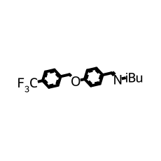 CCC(C)/N=C/c1ccc(OCc2ccc(C(F)(F)F)cc2)cc1